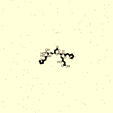 O=C(O)C[C@@H](O)CC[C@H](NC(=O)Cc1cccs1)B1OC(=O)C[C@H](CC[C@H](NC(O)Cc2cccs2)B(O)O)O1